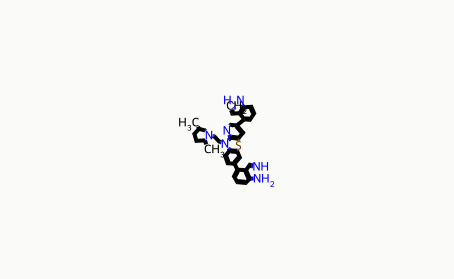 C=Cc1c(N)cccc1-c1cnc2c(c1)Sc1cc(-c3cccc(N)c3C=N)ccc1N2CCN1CC(C)CCC1C